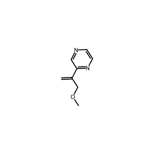 C=C(COC)c1cnccn1